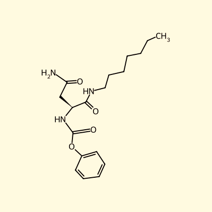 CCCCCCCNC(=O)[C@H](CC(N)=O)NC(=O)Oc1ccccc1